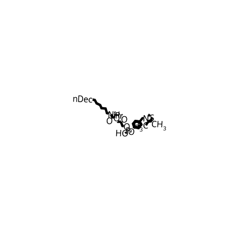 CCCCCCCCCCCCCCCCNC(=O)OCC(COP(O)Oc1ccc(CN2CSC(C)=C2C)cc1)OC(C)C